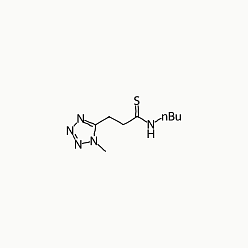 CCCCNC(=S)CCc1nnnn1C